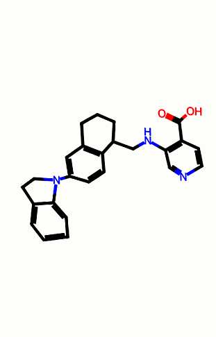 O=C(O)c1ccncc1NCC1CCCc2cc(N3CCc4ccccc43)ccc21